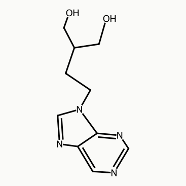 OCC(CO)CCn1cnc2cncnc21